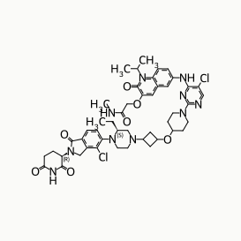 CC[C@H]1CN(C2CC(OC3CCN(c4ncc(Cl)c(Nc5ccc6c(c5)cc(OCC(=O)NC)c(=O)n6C(C)C)n4)CC3)C2)CCN1c1ccc2c(c1Cl)CN([C@@H]1CCC(=O)NC1=O)C2=O